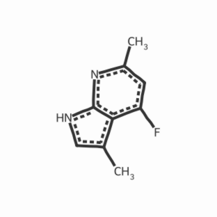 Cc1cc(F)c2c(C)c[nH]c2n1